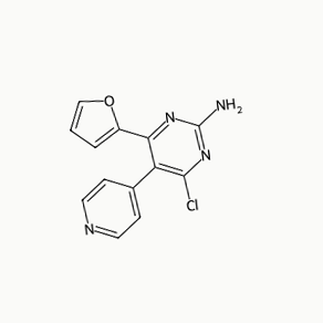 Nc1nc(Cl)c(-c2ccncc2)c(-c2ccco2)n1